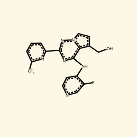 OCc1ccn2nc(-c3cccc(C(F)(F)F)n3)nc(Nc3ccncc3F)c12